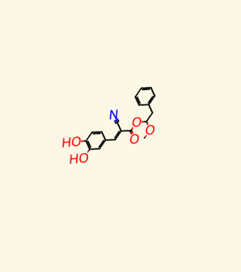 COC(Cc1ccccc1)OC(=O)C(C#N)=Cc1ccc(O)c(O)c1